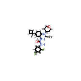 CC(C)CN(c1ccc(C2(C(=O)O)CCC2)cc1NC(=O)Nc1ccc(F)cc1F)C1CCOCC1